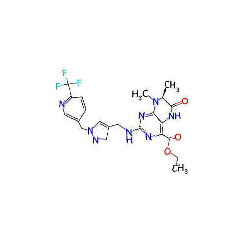 CCOC(=O)c1nc(NCc2cnn(Cc3ccc(C(F)(F)F)nc3)c2)nc2c1NC(=O)[C@H](C)N2C